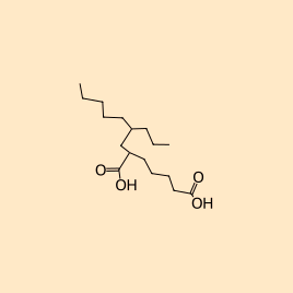 CCCCCC(CCC)CC(CCCCC(=O)O)C(=O)O